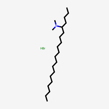 Br.CCCCCCCCCCCCCCCC(CCCC)N(C)C